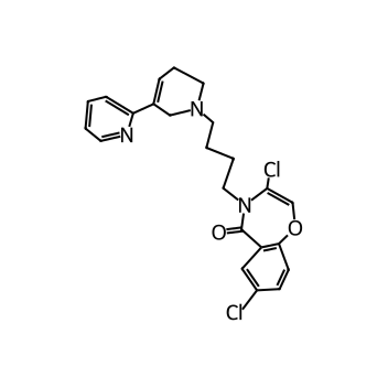 O=C1c2cc(Cl)ccc2OC=C(Cl)N1CCCCN1CCC=C(c2ccccn2)C1